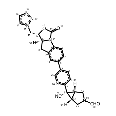 N#C[C@]1(c2ccc(-c3ccc4c(c3)C[C@H]3[C@H](Cn5ccnn5)OC(=O)N43)cn2)[C@@H]2CN(C=O)C[C@@H]21